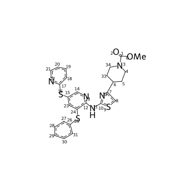 COC(=O)N1CCC(c2csc(Nc3ncc(Sc4ccccn4)cc3Sc3ccccc3)n2)CC1